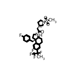 CC(F)(c1ccc2c(c1)CC[C@H]1N(C(=O)C[C@H]3CCN(S(C)(=O)=O)C3)CC[C@@]21Cc1ccc(F)cc1)C(F)(F)F